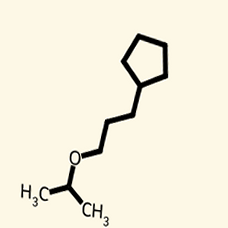 CC(C)OCCCC1CCCC1